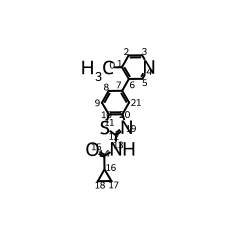 Cc1ccncc1-c1ccc2sc(NC(=O)C3CC3)nc2c1